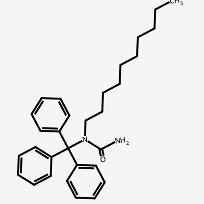 CCCCCCCCCCN(C(N)=O)C(c1ccccc1)(c1ccccc1)c1ccccc1